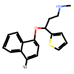 [2H]c1ccc(OC(CCNC)c2cccs2)c2ccccc12